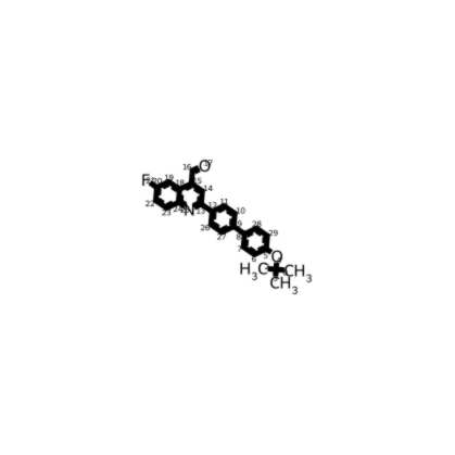 CC(C)(C)Oc1ccc(-c2ccc(-c3cc(C=O)c4cc(F)ccc4n3)cc2)cc1